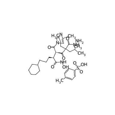 CCCC(CC(C)C)(C(=O)NN)C(=O)[C@H](C(=O)n1cnc(C)c1)[C@H](CCCC1CCCCC1)C(=O)NO.Cc1ccc(S(=O)(=O)O)cc1